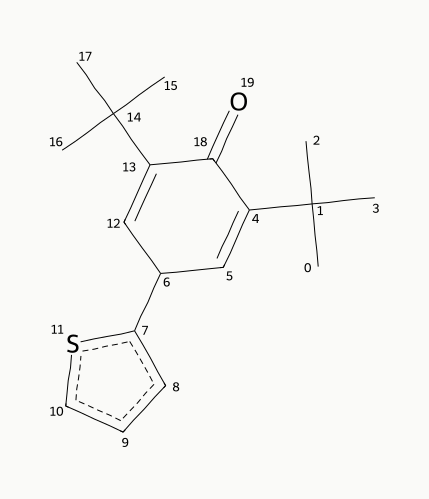 CC(C)(C)C1=CC(c2cccs2)C=C(C(C)(C)C)C1=O